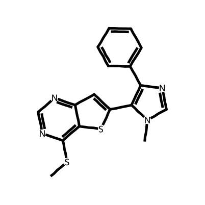 CSc1ncnc2cc(-c3c(-c4ccccc4)ncn3C)sc12